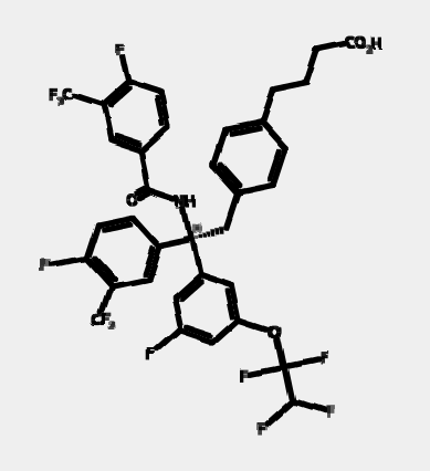 O=C(O)CCCc1ccc(C[C@](NC(=O)c2ccc(F)c(C(F)(F)F)c2)(c2cc(F)cc(OC(F)(F)C(F)F)c2)c2ccc(F)c(C(F)(F)F)c2)cc1